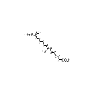 CCCCCC(O)=CCC=CCC=C(O)CC=CCCCC(=O)O